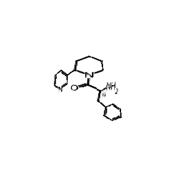 N[C@@H](Cc1ccccc1)C(=O)N1CCCCC1c1cccnc1